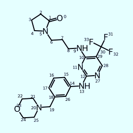 O=C1CCCN1CCCNc1nc(Nc2cccc(CN3CCOCC3)c2)ncc1C(F)(F)F